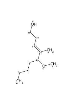 CCCCC(OC)C(C)=CCCO